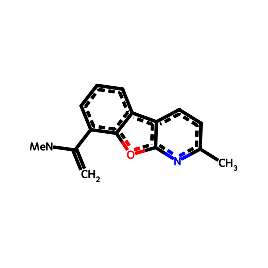 C=C(NC)c1cccc2c1oc1nc(C)ccc12